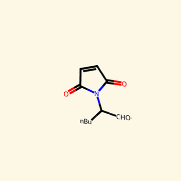 CCCCC([C]=O)N1C(=O)C=CC1=O